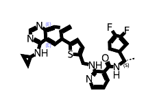 C=CC(/C=c1/c(NC2CC2)ncn/c1=C/C)c1ccc(CNc2ncccc2C(=O)N[C@@H](C)C2C=C(F)C(F)=CC2)s1